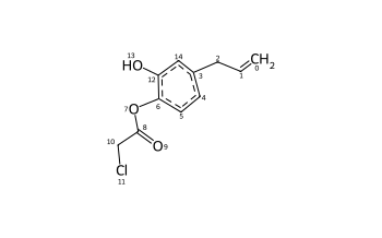 C=CCc1ccc(OC(=O)CCl)c(O)c1